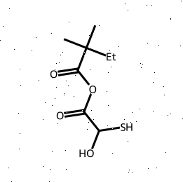 CCC(C)(C)C(=O)OC(=O)C(O)S